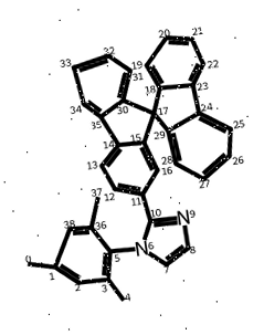 Cc1cc(C)c(-n2ccnc2-c2ccc3c(c2)C2(c4ccccc4-c4ccccc42)c2ccccc2-3)c(C)c1